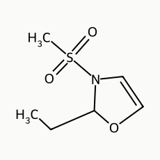 CCC1OC=CN1S(C)(=O)=O